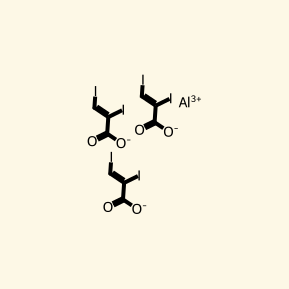 O=C([O-])/C(I)=C/I.O=C([O-])/C(I)=C/I.O=C([O-])/C(I)=C/I.[Al+3]